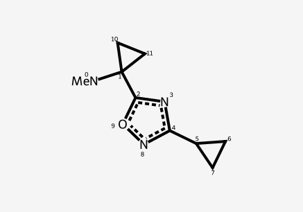 CNC1(c2nc(C3CC3)no2)CC1